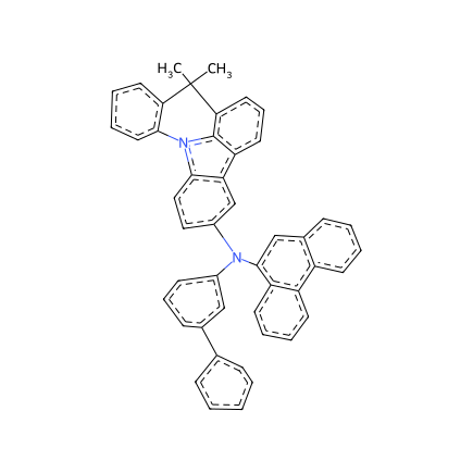 CC1(C)c2ccccc2-n2c3ccc(N(c4cccc(-c5ccccc5)c4)c4cc5ccccc5c5ccccc45)cc3c3cccc1c32